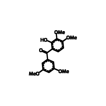 COc1cc(OC)cc(C(=O)c2ccc(OC)c(OC)c2O)c1